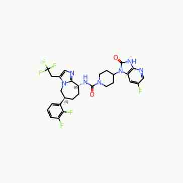 O=C(N[C@@H]1CC[C@@H](c2cccc(F)c2F)Cn2c(CC(F)(F)F)cnc21)N1CCC(n2c(=O)[nH]c3ncc(F)cc32)CC1